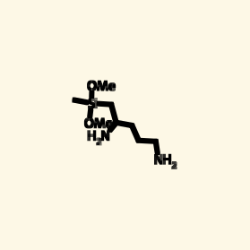 CO[Si](C)(CC(N)CCCN)OC